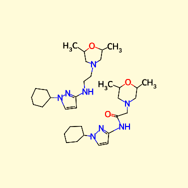 CC1CN(CC(=O)Nc2ccn(C3CCCCC3)n2)CC(C)O1.CC1CN(CCNc2ccn(C3CCCCC3)n2)CC(C)O1